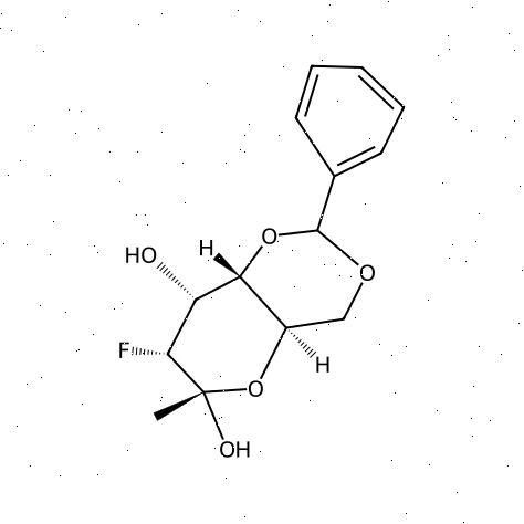 C[C@]1(O)O[C@@H]2COC(c3ccccc3)O[C@H]2[C@@H](O)[C@H]1F